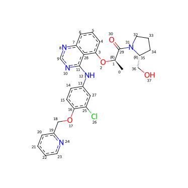 C[C@@H](Oc1cccc2ncnc(Nc3ccc(OCc4ccccn4)c(Cl)c3)c12)C(=O)N1CCC[C@@H]1CO